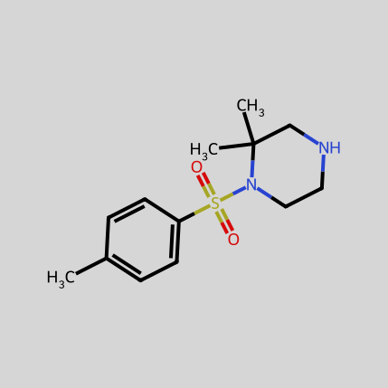 Cc1ccc(S(=O)(=O)N2CCNCC2(C)C)cc1